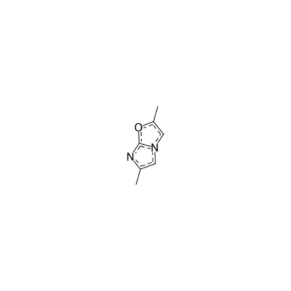 Cc1cn2cc(C)oc2n1